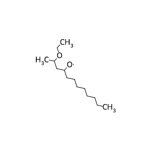 CCCCCCCCC([O])CC(C)OCC